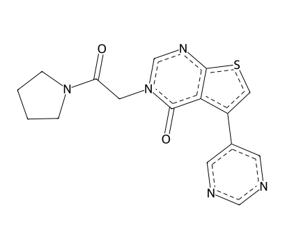 O=C(Cn1cnc2scc(-c3cncnc3)c2c1=O)N1CCCC1